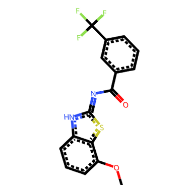 COc1cccc2[nH]/c(=N/C(=O)c3cccc(C(F)(F)F)c3)sc12